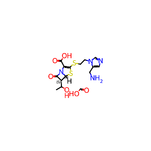 CC(O)[C@H]1C(=O)N2C(C(=O)O)=C(SCCn3cncc3CN)S[C@H]12.O=CO